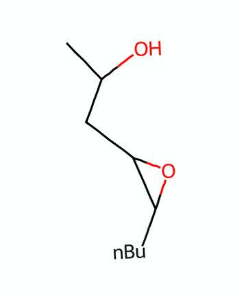 CCCCC1OC1CC(C)O